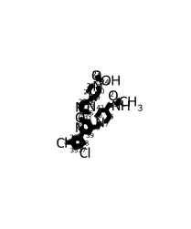 CC(=O)NCC1CCN(Cc2cc(Oc3cnc(N4CCN(C(=O)O)CC4)cn3)nc(-c3cc(Cl)cc(Cl)c3)c2)CC1